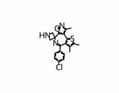 Cc1noc2c1-c1sc(C)c(C)c1C(c1ccc(Cl)cc1)=NC21CNC1